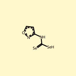 [Se]=C([SeH])Nc1ccon1